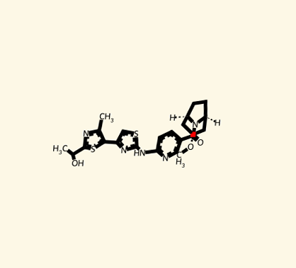 CO[C@@H]1C[C@H]2CC[C@@H](C1)N2C(=O)c1ccc(Nc2nc(-c3sc(C(C)O)nc3C)cs2)nc1